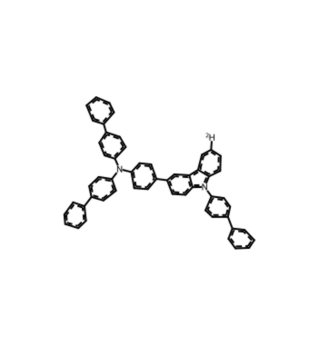 [2H]c1ccc2c(c1)c1cc(-c3ccc(N(c4ccc(-c5ccccc5)cc4)c4ccc(-c5ccccc5)cc4)cc3)ccc1n2-c1ccc(-c2ccccc2)cc1